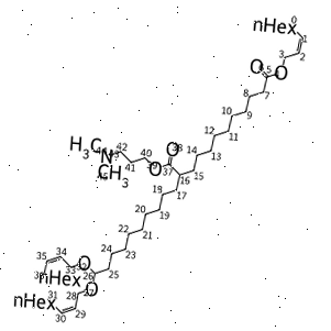 CCCCCC/C=C\COC(=O)CCCCCCCCCC(CCCCCCCCCC(OC/C=C\CCCCCC)OC/C=C\CCCCCC)C(=O)OCCCN(C)C